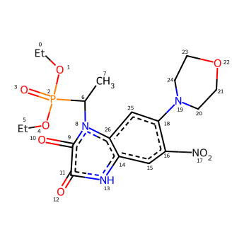 CCOP(=O)(OCC)C(C)n1c(=O)c(=O)[nH]c2cc([N+](=O)[O-])c(N3CCOCC3)cc21